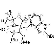 CCCCc1cc2c(C[C@]3(C(CSC)N(C(=O)O)C(C)(C)C)OC(C)(C)OC3=O)nccc2s1